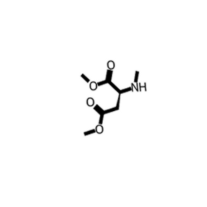 CN[C@@H](CC(=O)OC)C(=O)OC